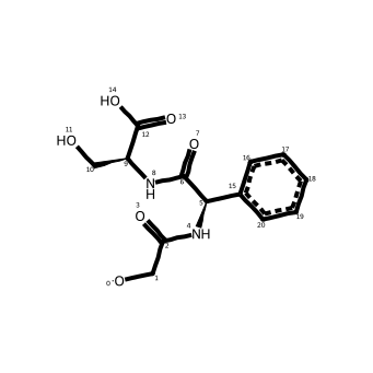 [O]CC(=O)N[C@@H](C(=O)N[C@@H](CO)C(=O)O)c1ccccc1